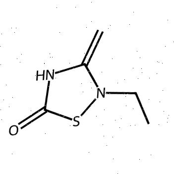 C=C1NC(=O)SN1CC